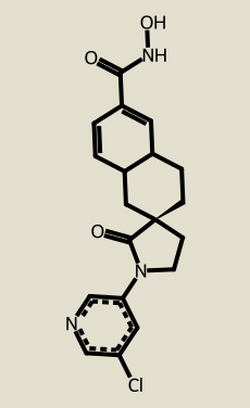 O=C(NO)C1=CC2CC[C@]3(CCN(c4cncc(Cl)c4)C3=O)CC2C=C1